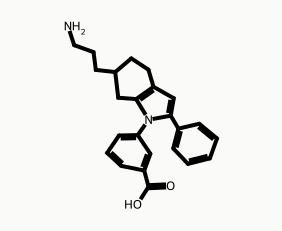 NCCCC1CCc2cc(-c3ccccc3)n(-c3cccc(C(=O)O)c3)c2C1